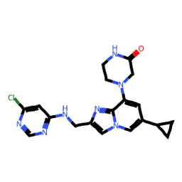 O=C1CN(c2cc(C3CC3)cn3cc(CNc4cc(Cl)ncn4)nc23)CCN1